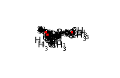 CC(C)(C)OC(=O)N1CCC(CCC(=O)N2CCC[C@@H](C(=O)N[C@@H](c3cccc(OCc4ccccc4)c3)C(C)(C(=O)O)C(=O)OC(C)(C)C)C2)CC1